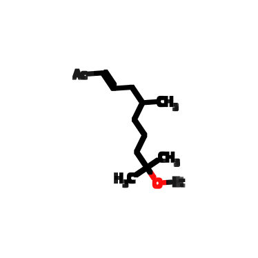 CCOC(C)(C)CCCC(C)C/C=C/C(C)=O